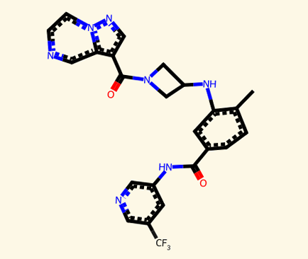 Cc1ccc(C(=O)Nc2cncc(C(F)(F)F)c2)cc1NC1CN(C(=O)c2cnn3ccncc23)C1